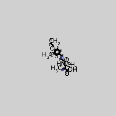 C=CCOc1ccc(/C=C/C(=O)NC(=C)/C(=C\C)C(=O)O)cc1C